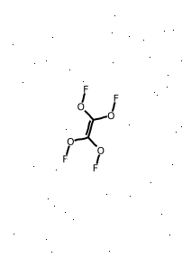 FOC(OF)=C(OF)OF